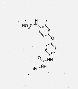 Cc1cc(Oc2ccc(NC(=O)NC(C)C)cc2)ccc1NC(=O)O